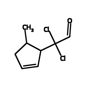 CC1CC=CC1C(Cl)(Cl)C=O